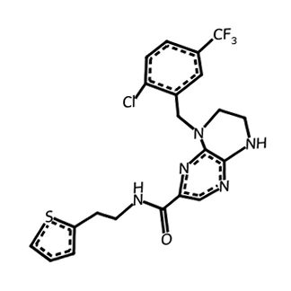 O=C(NCCc1cccs1)c1cnc2c(n1)N(Cc1cc(C(F)(F)F)ccc1Cl)CCN2